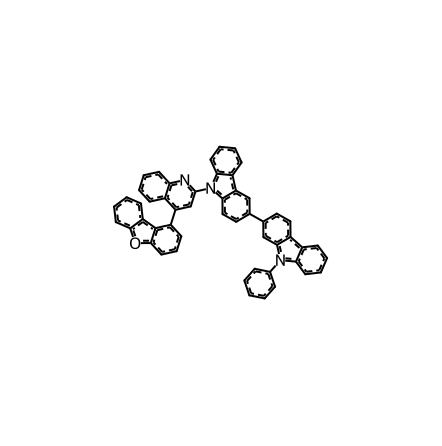 c1ccc(-n2c3ccccc3c3ccc(-c4ccc5c(c4)c4ccccc4n5-c4cc(-c5cccc6oc7ccccc7c56)c5ccccc5n4)cc32)cc1